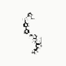 CCN1CCC[C@@H]1CNCc1ccc(-c2cccc(OC(=O)N3CC[C@@H](NC(=O)c4cc(-c5cnn(C)c5)cnc4N)C3)c2)cc1